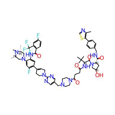 Cc1ncsc1-c1ccc(CNC(=O)[C@@H]2C[C@@H](O)CN2C(=O)[C@@H](NC(=O)CCC(=O)N2CCN(Cc3cnc(N4CC=C(c5cc(NC(=O)c6ccc(F)cc6C(F)(F)F)c(N6C[C@@H](C)N(C)[C@@H](C)C6)cc5F)CC4)nc3)CC2)C(C)(C)C)cc1